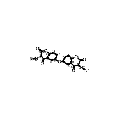 [N-]=[N+]=C1C(=O)Oc2ccc(Oc3ccc4c(c3)C(=O)C(=[N+]=[N-])C(=O)O4)cc2C1=O